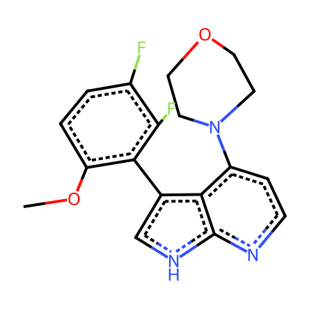 COc1ccc(F)c(F)c1-c1c[nH]c2nccc(N3CCOCC3)c12